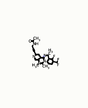 CC(=O)NCC#Cc1cc2/c(=N/[C@H](C)c3cccc(C(F)F)c3F)nc(C)n(C)c2cn1